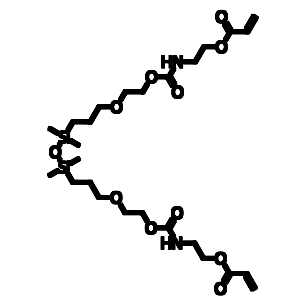 C=CC(=O)OCCNC(=O)OCCOCCC[Si](C)(C)O[Si](C)(C)CCCOCCOC(=O)NCCOC(=O)C=C